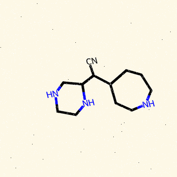 N#CC(C1CCCNCC1)C1CNCCN1